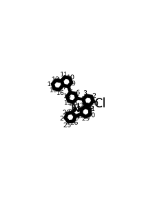 Clc1ccc(-c2cc(-c3cccc4ccccc34)ccc2-n2c3ccccc3c3ccccc32)cc1